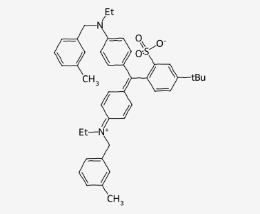 CCN(Cc1cccc(C)c1)c1ccc(C(=C2C=CC(=[N+](CC)Cc3cccc(C)c3)C=C2)c2ccc(C(C)(C)C)cc2S(=O)(=O)[O-])cc1